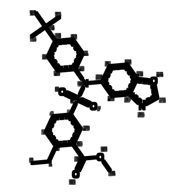 CCc1ccc(S(=O)(=O)N(c2ccc(C(C)(C)C)cc2)c2ccc3ocnc3c2)cc1C(=O)OC